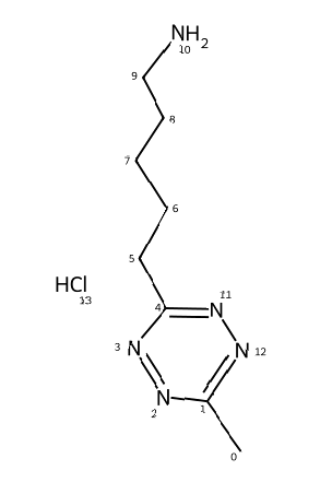 Cc1nnc(CCCCCN)nn1.Cl